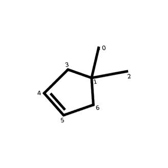 [CH2]C1(C)CC=CC1